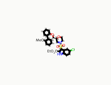 CCOC(=O)c1[nH]c2ccc(Cl)cc2c1S(=O)(=O)N1CCO[C@H](COc2ccccc2-c2ccccc2OC)C1